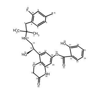 CC(C)(Cc1ccc(F)cc1F)NC[C@H](O)c1cc(OC(=O)c2ccccc2O)cc2c1OCC(=O)N2